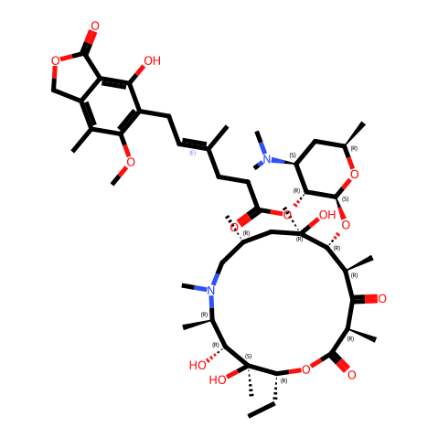 CC[C@H]1OC(=O)[C@H](C)C(=O)[C@H](C)[C@@H](O[C@@H]2O[C@H](C)C[C@H](N(C)C)[C@H]2OC(=O)CC/C(C)=C/Cc2c(O)c3c(c(C)c2OC)COC3=O)[C@](C)(O)C[C@@H](C)CN(C)[C@H](C)[C@@H](O)[C@]1(C)O